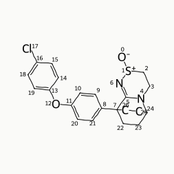 [O-][S+]1CCN2C(=N1)C1(c3ccc(Oc4ccc(Cl)cc4)cc3)CCC2CC1